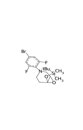 CC(C)(C)[Si](C)(C)OC12CCN(c3c(F)cc(Br)cc3F)CC1O2